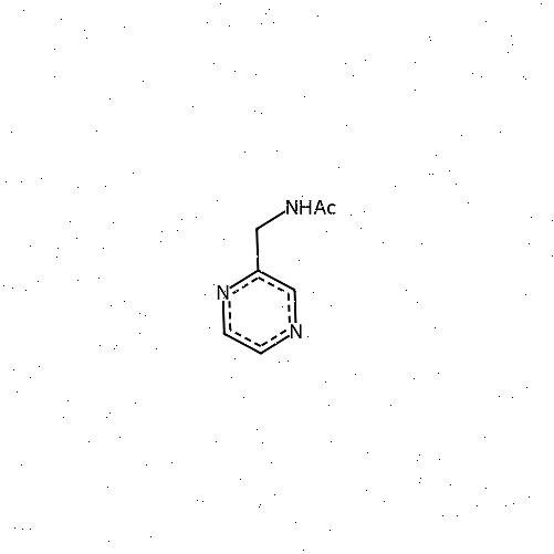 CC(=O)NCc1cnccn1